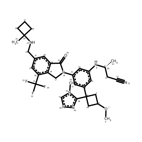 COC1CC(c2cc(N[C@H](C)CC#N)cc(N3Cc4c(cc(CNC5(C)CCC5)cc4C(F)(F)F)C3=O)c2)(c2nncn2C)C1